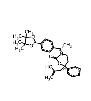 C=C(O)C[C@]1(c2ccccc2)CCN([C@@H](C)c2ccc(B3OC(C)(C)C(C)(C)O3)cc2)C(=O)O1